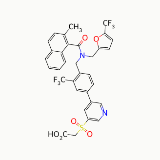 Cc1ccc2ccccc2c1C(=O)N(Cc1ccc(C(F)(F)F)o1)Cc1ccc(-c2cncc(S(=O)(=O)CC(=O)O)c2)cc1C(F)(F)F